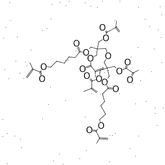 C=C(C)C(=O)OCCCCCC(=O)OCC(COCC(COC(=O)CCCCCOC(=O)C(=C)C)(COC(=O)C(=C)C)COC(=O)C(C)=O)(COC(=O)C(=C)C)COC(=O)C(=C)C